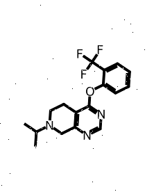 CC(C)N1CCc2c(ncnc2Oc2ccccc2C(F)(F)F)C1